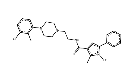 CCn1c(-c2ccccc2)cc(C(=O)NCCN2CCN(c3cccc(Cl)c3C)CC2)c1C